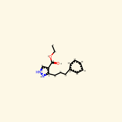 CCOC(=O)c1c[nH]nc1CCCc1ccccc1